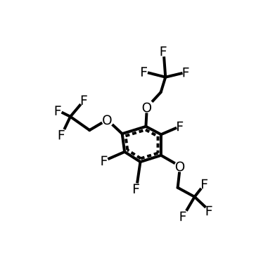 Fc1c(F)c(OCC(F)(F)F)c(OCC(F)(F)F)c(F)c1OCC(F)(F)F